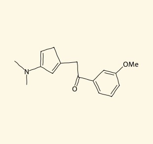 COc1cccc(C(=O)CC2=CC(N(C)C)=CC2)c1